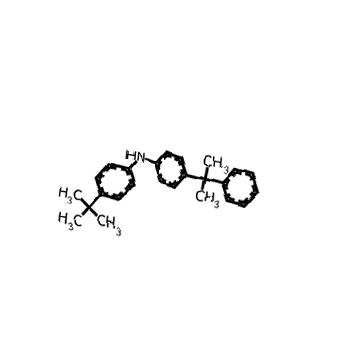 CC(C)(C)c1ccc(Nc2ccc(C(C)(C)c3ccccc3)cc2)cc1